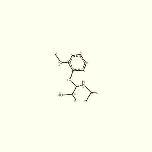 COc1ccccc1OC(NC(C)C)C(C)O